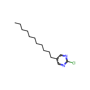 CCCCCCCCCCCc1cnc(Cl)nc1